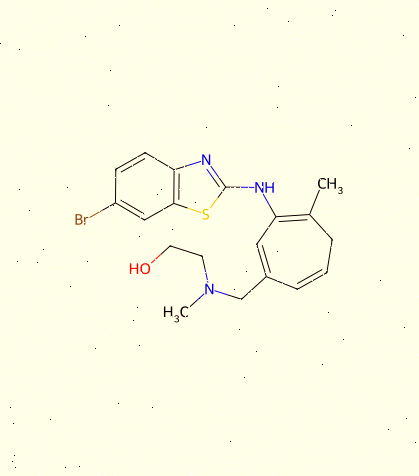 CC1=C(Nc2nc3ccc(Br)cc3s2)C=C(CN(C)CCO)C=CC1